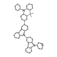 CC1(C)c2ccccc2N(c2ccccc2)c2ccc(-c3ccc4c(c3)c3ccccc3n4-c3ccc4c(c3)c3ccccc3n4-c3ccccc3)cc21